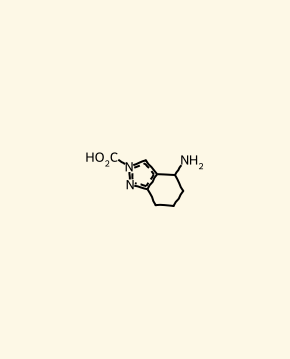 NC1CCCc2nn(C(=O)O)cc21